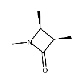 C[C@H]1C(=O)N(C)[C@H]1C